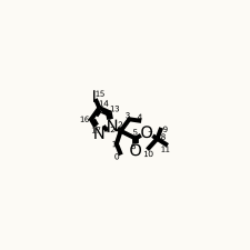 CCC(CC)(C(=O)OC(C)(C)C)n1cc(I)cn1